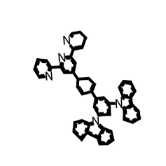 C1=CC(c2cc(C3=CCCC=N3)nc(-c3ccccn3)c2)CC=C1c1cc(-n2c3ccccc3c3ccccc32)cc(-n2c3ccccc3c3ccccc32)c1